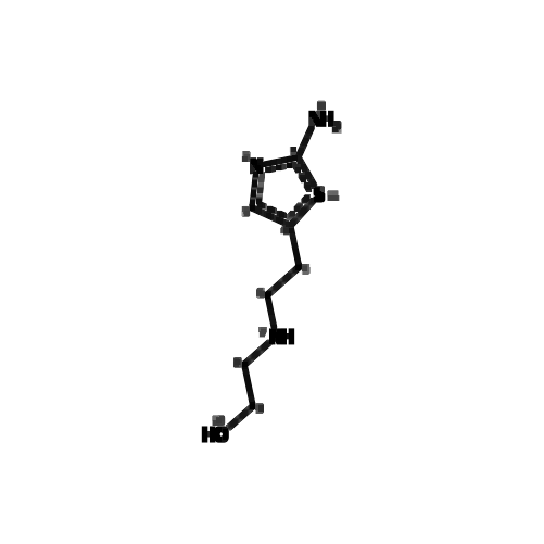 Nc1ncc(CCNCCO)s1